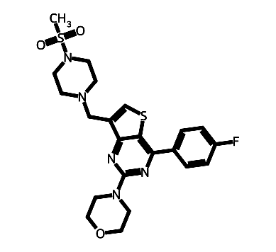 CS(=O)(=O)N1CCN(Cc2csc3c(-c4ccc(F)cc4)nc(N4CCOCC4)nc23)CC1